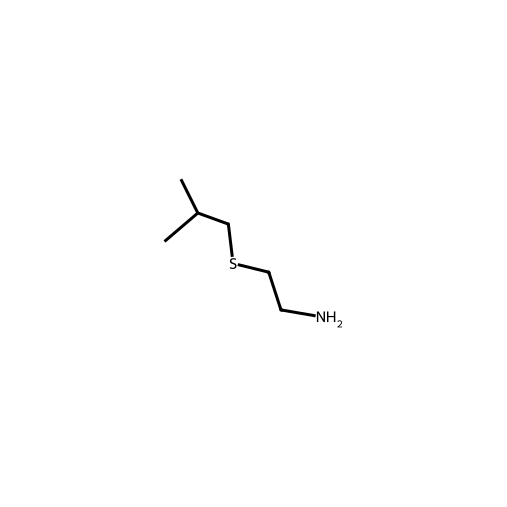 CC(C)CSCCN